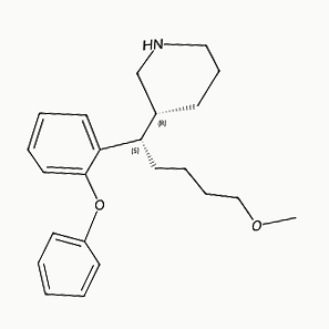 COCCCC[C@H](c1ccccc1Oc1ccccc1)[C@H]1CCCNC1